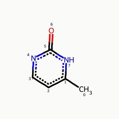 Cc1c[c]nc(=O)[nH]1